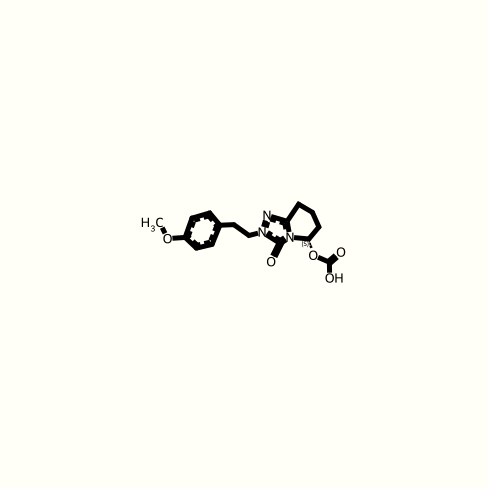 COc1ccc(CCn2nc3n(c2=O)[C@@H](OC(=O)O)CCC3)cc1